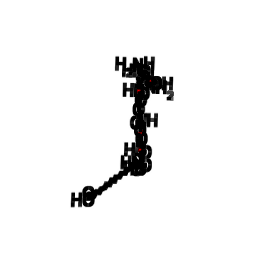 NCN[C@@H](CCCCNC(=O)COCCOCCNC(=O)COCCOCCNC(=O)CCC(NC(=O)CCCCCCCCCCCCCCCCC(=O)O)C(=O)O)C(=O)CN[C@@H](CO)C(N)=O